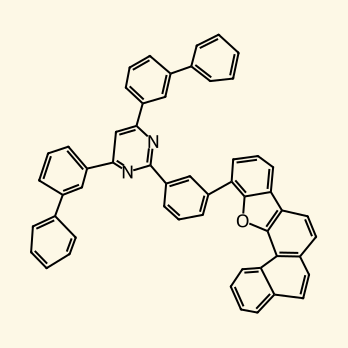 c1ccc(-c2cccc(-c3cc(-c4cccc(-c5ccccc5)c4)nc(-c4cccc(-c5cccc6c5oc5c6ccc6ccc7ccccc7c65)c4)n3)c2)cc1